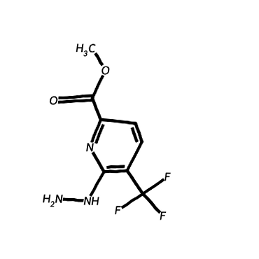 COC(=O)c1ccc(C(F)(F)F)c(NN)n1